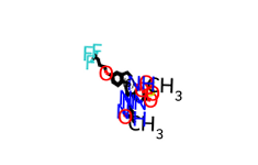 Cc1cc(-n2nc3c(c2NC(=O)CS(C)(=O)=O)C(=O)N[C@@]2(CCc4cc(OCCCC(F)(F)F)ccc42)C3)no1